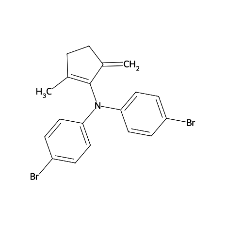 C=C1CCC(C)=C1N(c1ccc(Br)cc1)c1ccc(Br)cc1